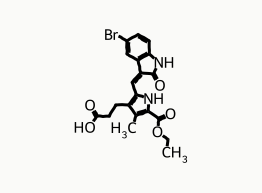 CCOC(=O)c1[nH]c(C=C2C(=O)Nc3ccc(Br)cc32)c(CCC(=O)O)c1C